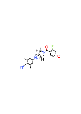 COc1ccc(C(=O)N2C[C@H]3CN(c4cc(C)c(C#N)c(C)c4)C[C@H]3[C@@H]2C)c(F)c1